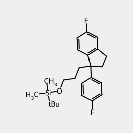 CC(C)(C)[Si](C)(C)OCCCC1(c2ccc(F)cc2)CCc2cc(F)ccc21